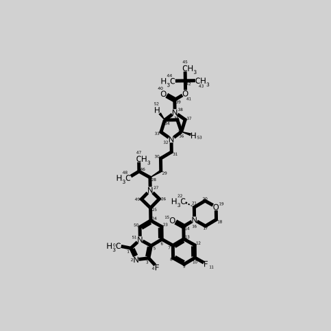 Cc1nc(F)c2c(-c3ccc(F)cc3C(=O)N3CCOC[C@H]3C)cc(C3CN([C@H](CCCN4C[C@H]5C[C@@H]4CN5C(=O)OC(C)(C)C)C(C)C)C3)cn12